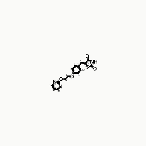 O=C1NC(=O)C(Cc2ccc(OCCOc3ncccn3)cc2)S1